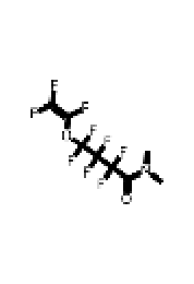 CN(C)C(=O)C(F)(F)C(F)(F)C(F)(F)OC(F)=C(F)F